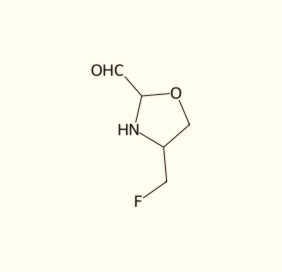 O=CC1NC(CF)CO1